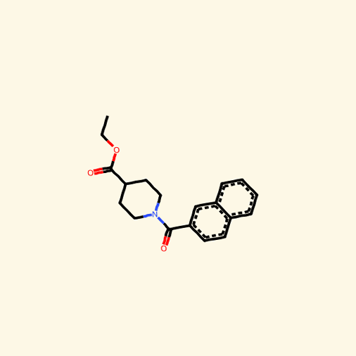 CCOC(=O)C1CCN(C(=O)c2ccc3ccccc3c2)CC1